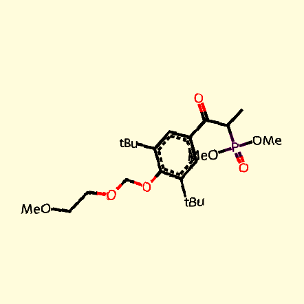 COCCOCOc1c(C(C)(C)C)cc(C(=O)C(C)P(=O)(OC)OC)cc1C(C)(C)C